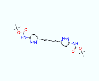 CC(C)(C)OC(=O)Nc1ccc(C#CC#Cc2ccc(NC(=O)OC(C)(C)C)nn2)nn1